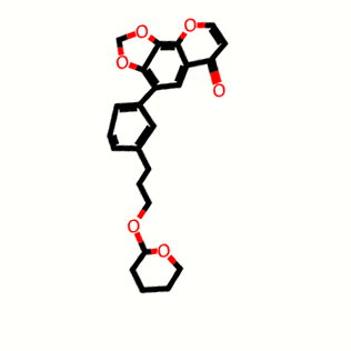 O=c1ccoc2c3c(c(-c4cccc(CCCOC5CCCCO5)c4)cc12)OCO3